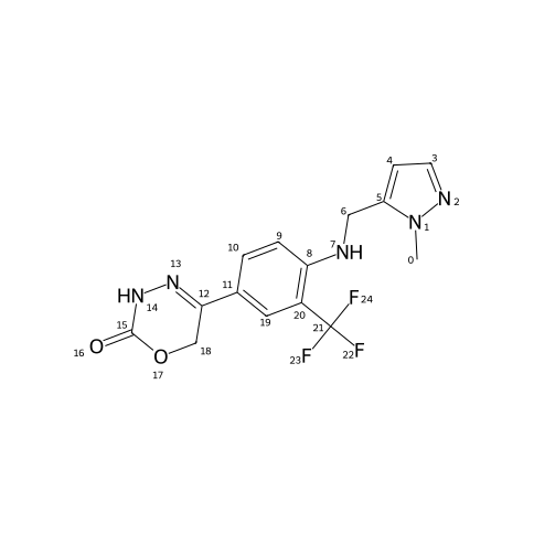 Cn1nccc1CNc1ccc(C2=NNC(=O)OC2)cc1C(F)(F)F